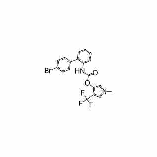 Cn1cc(OC(=O)Nc2ccccc2-c2ccc(Br)cc2)c(C(F)(F)F)c1